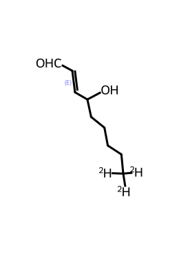 [2H]C([2H])([2H])CCCCC(O)/C=C/C=O